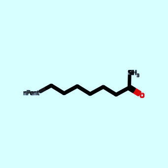 CCCCCCCCCCCC(=O)[SiH3]